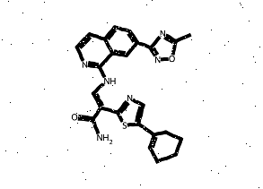 Cc1nc(-c2ccc3ccnc(NC=C(C(N)=O)c4ncc(C5=CCCCC5)s4)c3c2)no1